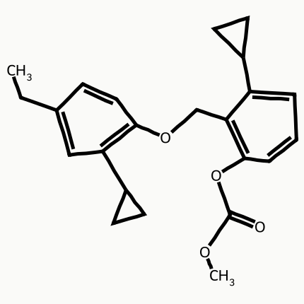 CCc1ccc(OCc2c(OC(=O)OC)cccc2C2CC2)c(C2CC2)c1